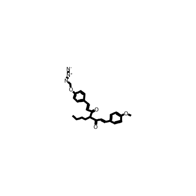 CCCCC(C(=O)/C=C/c1ccc(OC)cc1)C(=O)/C=C/c1ccc(OCN=[N+]=[N-])cc1